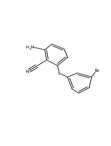 N#Cc1c(N)cccc1Sc1cccc(Br)c1